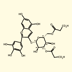 O=C(O)CC(=O)OC[C@H]1O[C@@H](Oc2cc3c(O)cc(O)cc3[o+]c2-c2cc(O)c(O)c(O)c2)[C@H](O)[C@@H](OC(=O)CC(=O)O)[C@@H]1O